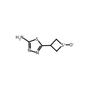 Nc1nnc(C2C[S+]([O-])C2)s1